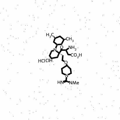 CNC(=N)N1CCC(OCC[C@]2(C(=O)C(N)CC(=O)O)CCCCN2C2C[C@@H](C)C[C@@H](C)C2)CC1.Cl.Cl